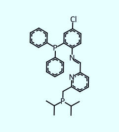 CC(C)P(Cc1cccc(C=Nc2ccc(Cl)cc2P(c2ccccc2)c2ccccc2)n1)C(C)C